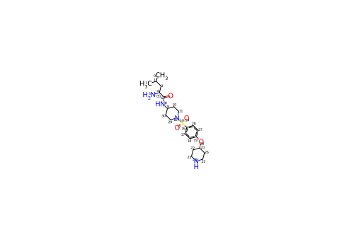 CC(C)C[C@H](N)C(=O)NC1CCN(S(=O)(=O)c2ccc(OC3CCNCC3)cc2)CC1